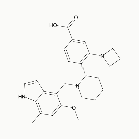 COc1cc(C)c2[nH]ccc2c1CN1CCCC[C@H]1c1ccc(C(=O)O)cc1N1CCC1